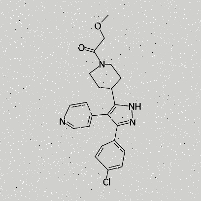 COCC(=O)N1CCC(c2[nH]nc(-c3ccc(Cl)cc3)c2-c2ccncc2)CC1